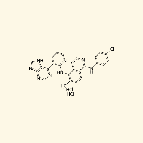 Cc1ccc2c(Nc3ccc(Cl)cc3)nccc2c1Nc1ncccc1-c1ncnc2nc[nH]c12.Cl.Cl